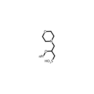 CCCOC(CN1CCOCC1)CS(=O)(=O)O